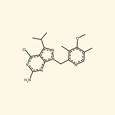 COc1c(C)cnc(Cn2nc(C(C)C)c3c(Cl)nc(N)nc32)c1C